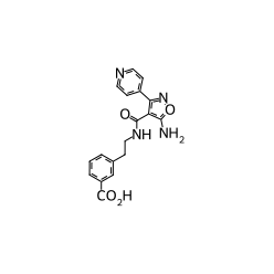 Nc1onc(-c2ccncc2)c1C(=O)NCCc1cccc(C(=O)O)c1